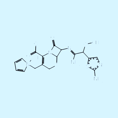 COC(C(N)=NC1C(=O)N2C(C(=O)[O-])=C(C[N+]3(C)C=CC=C3)CSC12)c1cnc(N)s1